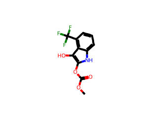 COC(=O)Oc1[nH]c2cccc(C(F)(F)F)c2c1O